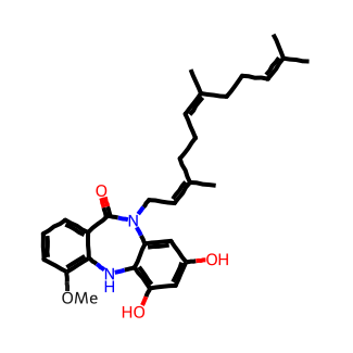 COc1cccc2c1Nc1c(O)cc(O)cc1N(CC=C(C)CCC=C(C)CCC=C(C)C)C2=O